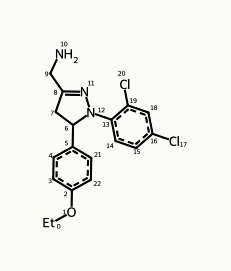 CCOc1ccc(C2CC(CN)=NN2c2ccc(Cl)cc2Cl)cc1